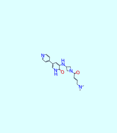 CN(C)CC=CC(=O)N1CC(Nc2cc(-c3ccncc3)c[nH]c2=O)C1